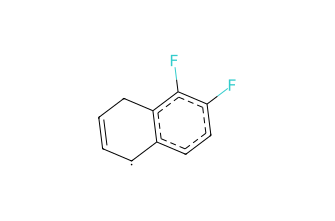 Fc1ccc2c(c1F)CC=C[CH]2